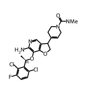 CNC(=O)N1CC=C(C2COc3c2cnc(N)c3O[C@H](C)c2c(Cl)ccc(F)c2Cl)CC1